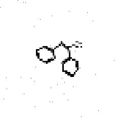 [CH2]CC(=[C]c1ccccc1)c1ccccc1